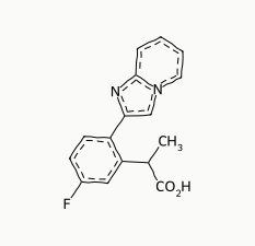 CC(C(=O)O)c1cc(F)ccc1-c1cn2ccccc2n1